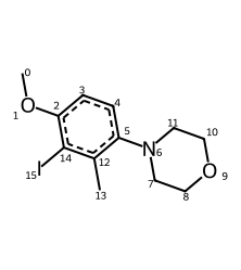 COc1ccc(N2CCOCC2)c(C)c1I